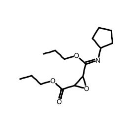 CCCOC(=O)C1OC1C(=NC1CCCC1)OCCC